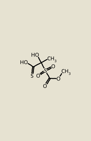 COC(=O)S(=O)(=O)C(C)(O)C(O)=S